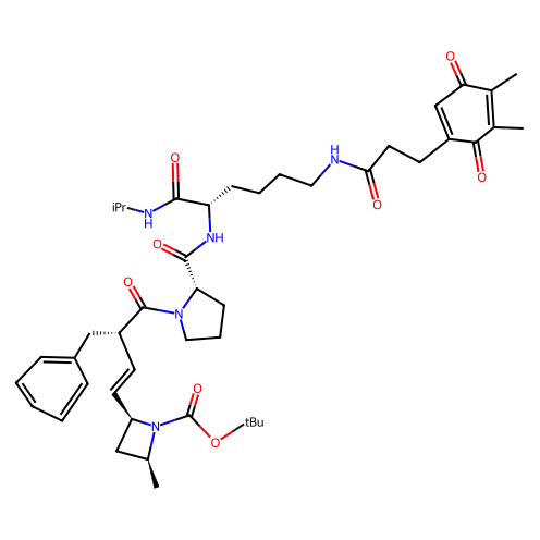 CC1=C(C)C(=O)C(CCC(=O)NCCCC[C@H](NC(=O)[C@@H]2CCCN2C(=O)[C@H](/C=C/[C@@H]2C[C@H](C)N2C(=O)OC(C)(C)C)Cc2ccccc2)C(=O)NC(C)C)=CC1=O